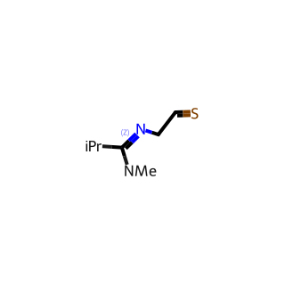 CN/C(=N\CC=S)C(C)C